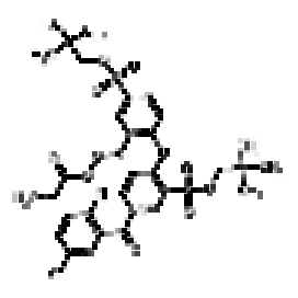 CCC(=O)OOSc1cc(S(=O)(=O)OCC(C)(C)C)ccc1Oc1ccc(C(=O)c2cc(Cl)ccc2Cl)cc1S(=O)(=O)OCC(C)(C)C